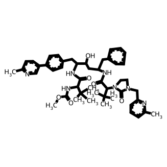 COC(=O)NC(C(=O)NC(Cc1ccc(-c2ccc(C)nc2)cc1)C(O)CC(Cc1ccccc1)NC(=O)C(N1CCN(Cc2cccc(C)n2)C1=O)C(C)(C)C)C(C)(C)C